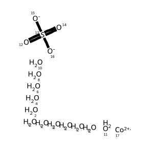 O.O.O.O.O.O.O.O.O.O.O.O.O=S(=O)([O-])[O-].[Co+2]